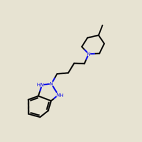 CC1CCN(CCCCN2Nc3ccccc3N2)CC1